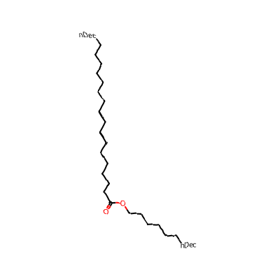 CCCCCCCCCCCCCCCCCCCCCCCCCCC(=O)OCCCCCCCCCCCCCCCC